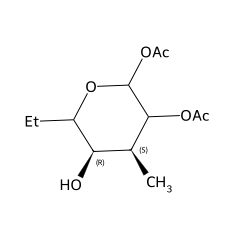 CCC1OC(OC(C)=O)C(OC(C)=O)[C@@H](C)[C@H]1O